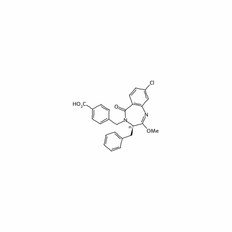 COC1=Nc2cc(Cl)ccc2C(=O)N(Cc2ccc(C(=O)O)cc2)[C@@H]1Cc1ccccc1